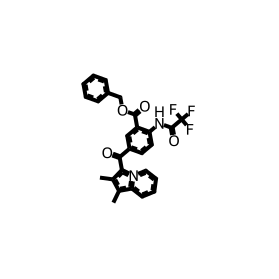 Cc1c(C)c2ccccn2c1C(=O)c1ccc(NC(=O)C(F)(F)F)c(C(=O)OCc2ccccc2)c1